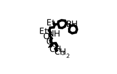 C=C/C=C\C(=C/C)OCC(=O)NC(CC)CCC(CC)C1CCCC(BC2CCCCCCC2)CCC1